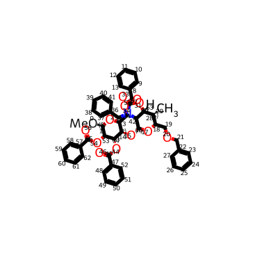 CO[C@H]1OC(COC(=O)c2ccccc2)[C@@H](O[C@H]2OC(COCc3ccccc3)[C@@H](C)[C@@H]3OC(=O)N(Cc4ccccc4)C23)[C@H](OC(=O)c2ccccc2)C1OC(=O)c1ccccc1